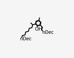 CCCCCCCCCCCCCCCCC(C)c1cc(C)cc(CCCCCCCCCCCC)c1O